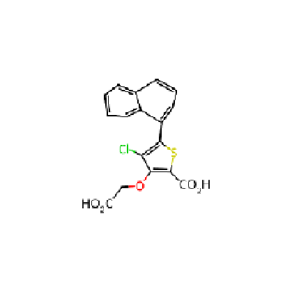 O=C(O)COc1c(C(=O)O)sc(-c2cccc3ccccc23)c1Cl